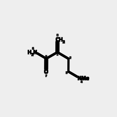 C=C(CCNC)C(N)=O